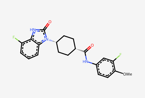 COc1ccc(NC(=O)[C@H]2CC[C@@H](n3c(=O)[nH]c4c(F)cccc43)CC2)cc1F